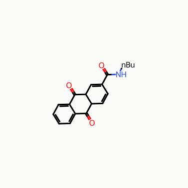 CCCCNC(=O)C1=CC2C(=O)c3ccccc3C(=O)C2C=C1